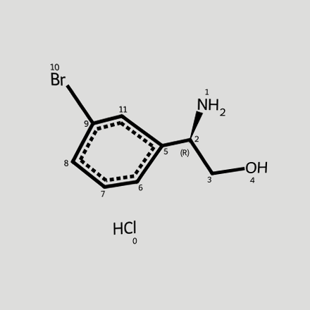 Cl.N[C@@H](CO)c1cccc(Br)c1